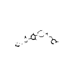 O=C(NCc1ccnc(Cl)c1)N1CCN(c2c(F)cc(N3C[C@H](Cn4ccnn4)OC3=O)cc2F)CCN1